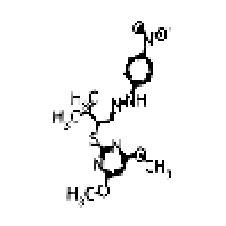 COc1cc(OC)nc(SC(C=NNc2ccc([N+](=O)[O-])cc2)C(C)C)n1